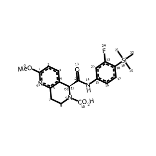 COc1ccc2c(n1)CCN(C(=O)O)[C@@H]2C(=O)Nc1ccc([Si](C)(C)C)c(F)c1